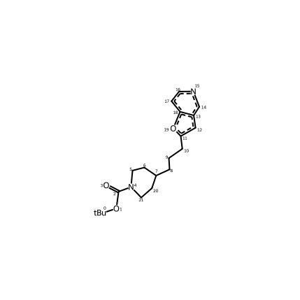 CC(C)(C)OC(=O)N1CCC(CCCc2cc3cnccc3o2)CC1